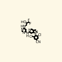 N#Cc1cc(Cl)c(-n2ncc3cnc(Nc4cc(NC[C@@H](O)C(F)F)ncn4)cc32)c(Cl)c1